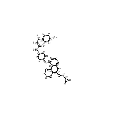 C[C@@H](NC(=O)Nc1ccc(Oc2ccnc3cc(OCC4CC4)c4c(c23)OCCO4)cc1)c1ccc(F)cc1